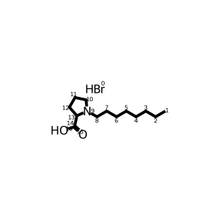 Br.CCCCCCCCN1CCCC1C(=O)O